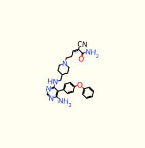 N#C/C(=C/CCN1CCC(CNc2ncnc(N)c2-c2ccc(Oc3ccccc3)cc2)CC1)C(N)=O